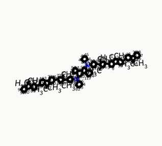 Cc1cc(-c2ccc3c(c2)C(C)(C)c2cc(-c4ccc5c(c4)C(C)(C)c4ccccc4-5)ccc2-3)cc(C)c1-c1ccc(N(c2ccccc2)c2cc3c4ccccc4c(N(c4ccccc4)c4ccc(-c5c(C)cc(-c6ccc7c(c6)C(C)(C)c6cc(-c8ccc9c(c8)C(C)(C)c8ccccc8-9)ccc6-7)cc5C)cc4)cc3c3ccccc23)cc1